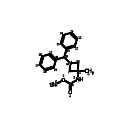 CC1(NC(=O)OC(C)(C)C)CN(C(c2ccccc2)c2ccccc2)C1